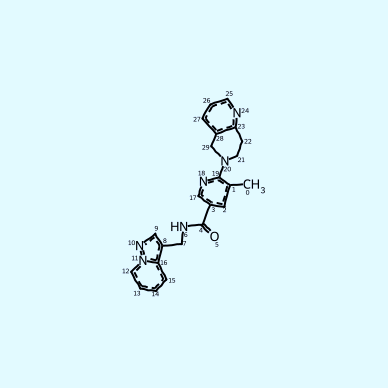 Cc1cc(C(=O)NCc2cnn3ccccc23)cnc1N1CCc2ncccc2C1